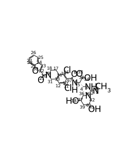 C/N=C(\NC[C@H](NC(=O)c1c(Cl)cc2c(c1Cl)CCN(C(=O)c1cc3ccccc3o1)C2)C(=O)O)N1C[C@H](O)C[C@H](O)C1